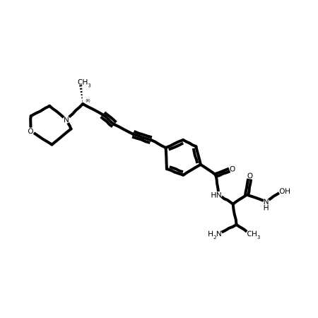 CC(N)C(NC(=O)c1ccc(C#CC#C[C@@H](C)N2CCOCC2)cc1)C(=O)NO